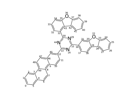 c1ccc2c(c1)ccc1c3ccc(-c4nc(-c5ccc6c(c5)oc5ccccc56)nc(-c5cccc6oc7ccccc7c56)n4)cc3ccc21